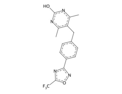 Cc1nc(O)nc(C)c1Cc1ccc(-c2noc(C(F)(F)F)n2)cc1